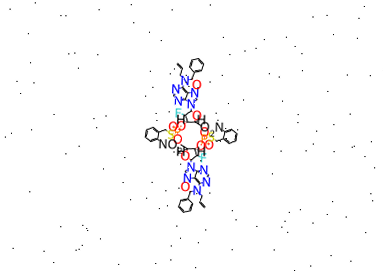 C=CCN(C(=O)c1ccccc1)c1ncnc2c1ncn2C1O[C@@H]2CO[P@@](=O)(SCc3ccccc3[N+](=O)[O-])O[C@@H]3[C@@H](CO[P@](=O)(SCc4ccccc4[N+](=O)[O-])O[C@H]2[C@H]1F)OC(n1cnc2c(N(CC=C)C(=O)c4ccccc4)ncnc21)[C@@H]3F